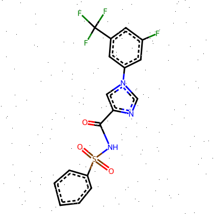 O=C(NS(=O)(=O)c1ccccc1)c1cn(-c2cc(F)cc(C(F)(F)F)c2)cn1